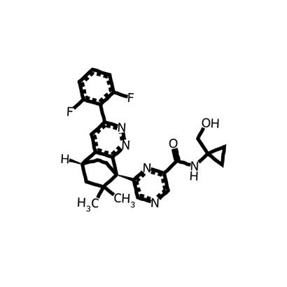 CC1(C)C[C@H]2CC[C@]1(c1cncc(C(=O)NC3(CO)CC3)n1)c1nnc(-c3c(F)cccc3F)cc12